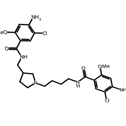 COc1cc(N)c(Cl)cc1C(=O)NCCCCN1CCC(CNC(=O)c2cc(Cl)c(N)cc2OC)C1